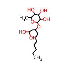 CCCCCCCC(CC(O)O)OC1OC(C)C(O)C(O)C1O